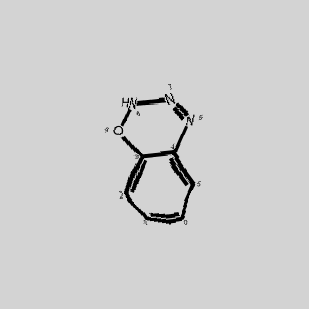 c1ccc2c(c1)N=NNO2